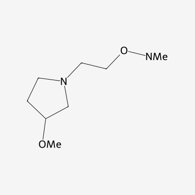 CNOCCN1CCC(OC)C1